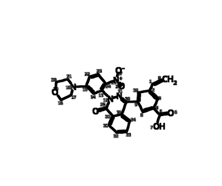 C=Cc1cc(C(=O)O)cc(-c2nn(-c3cc(N4CCOCC4)ccc3[N+](=O)[O-])c(=O)c3ccccc23)c1